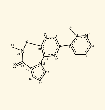 Cc1ncccc1-c1cnc2c(n1)-n1cccc1C(=O)N(C)C2